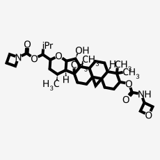 CC(C)C(OC(=O)N1CCC1)C1C[C@@H](C)[C@H]2C(O1)[C@H](O)[C@@]1(C)C3CC[C@H]4C(C)(C)C(OC(=O)NC5COC5)CCC45CC35CCC21C